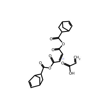 C=CC(=O)O.O=C(/C=C\C(=O)OC(=O)C1CC2C=CC1C2)OC(=O)C1CC2C=CC1C2